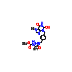 CCC[C@@H](NC(=O)OC(C)(C)C)C(=O)NCc1ccc(CN2c3ncn(CC)c3C(=O)NC2O)cc1